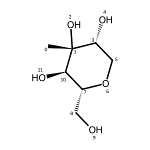 C[C@@]1(O)[C@H](O)CO[C@H](CO)[C@H]1O